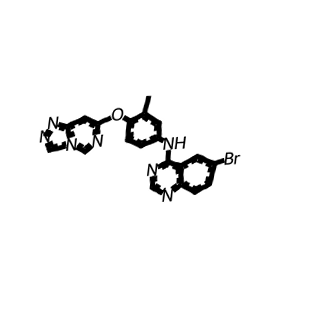 Cc1cc(Nc2ncnc3ccc(Br)cc23)ccc1Oc1cc2nncn2cn1